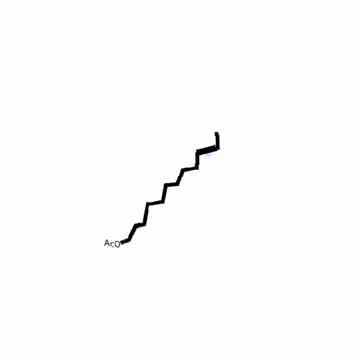 C/C=C/CCCCCCCCCOC(C)=O